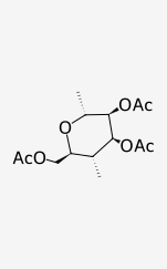 CC(=O)OC[C@H]1O[C@H](C)[C@@H](OC(C)=O)[C@@H](OC(C)=O)[C@@H]1C